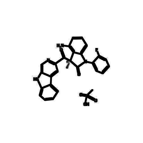 CS(=O)(=O)O.C[C@@]1(C(=O)c2cc3c(cn2)[nH]c2ccccc23)C(=O)N(c2ccccc2F)c2cccc(N)c21